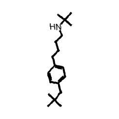 CC(C)(C)Cc1ccc(CCCCNC(C)(C)C)cc1